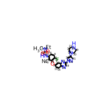 CCN(C)S(=O)(=O)Nc1ccc(F)c(Oc2ccc3ncc(-n4cc(N5CCCNCC5)cn4)nc3c2)c1C#N